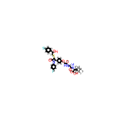 CC(C)(C)[C@@H](NC(=O)CNC(=O)COc1ccc([C@@H]2[C@@H](SC[C@@H](O)c3ccc(F)cc3)C(=O)N2c2ccc(F)cc2)cc1)C(=O)O